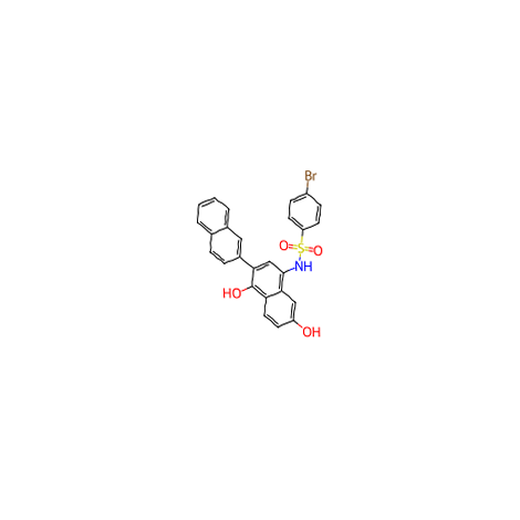 O=S(=O)(Nc1cc(-c2ccc3ccccc3c2)c(O)c2ccc(O)cc12)c1ccc(Br)cc1